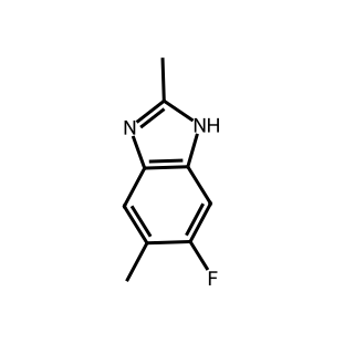 Cc1nc2cc(C)c(F)cc2[nH]1